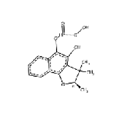 C[C@H]1Oc2c(c(O)c(O[PH](=O)OO)c3ccccc23)C1(C)C